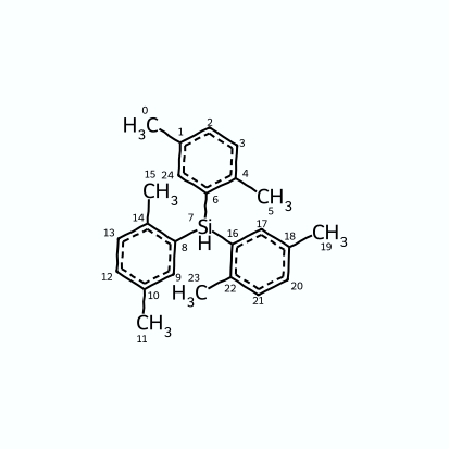 Cc1ccc(C)c([SiH](c2cc(C)ccc2C)c2cc(C)ccc2C)c1